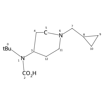 CC(C)(C)N(C(=O)O)C1CCN(CC2CC2)CC1